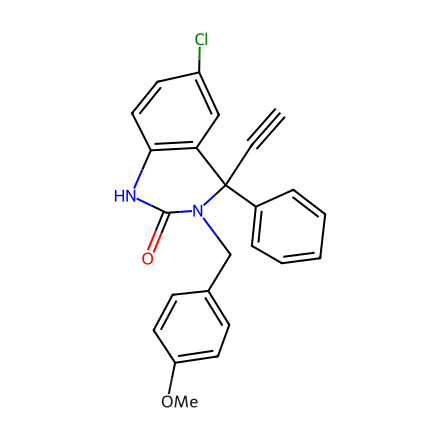 C#CC1(c2ccccc2)c2cc(Cl)ccc2NC(=O)N1Cc1ccc(OC)cc1